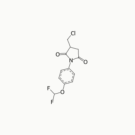 O=C1CC(CCl)C(=O)N1c1ccc(OC(F)F)cc1